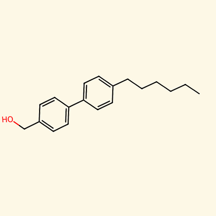 CCCCCCc1ccc(-c2ccc(CO)cc2)cc1